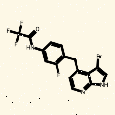 O=C(Nc1ccc(Cc2ccnc3[nH]cc(Br)c23)c(F)c1)C(F)(F)F